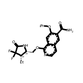 CC[C@H]1[C@@H](COc2nccc3cc(C(N)=O)c(OC(C)C)cc23)NC(=O)C1(F)F